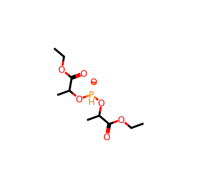 CCOC(=O)C(C)O[PH](=O)OC(C)C(=O)OCC